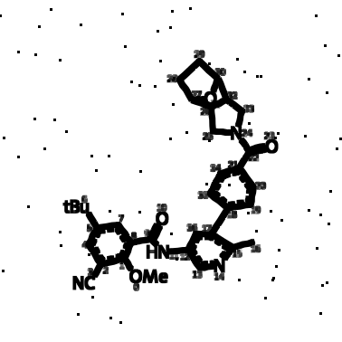 COc1c(C#N)cc(C(C)(C)C)cc1C(=O)Nc1cnc(C)c(-c2ccc(C(=O)N3CC4C5CCC(O5)C4C3)cc2)c1